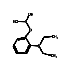 CCN(CC)c1ccccc1OB(O)O